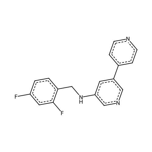 Fc1ccc(CNc2cncc(-c3ccncc3)c2)c(F)c1